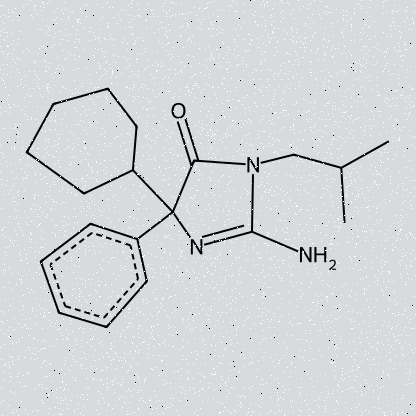 CC(C)CN1C(=O)C(c2ccccc2)(C2CCCCC2)N=C1N